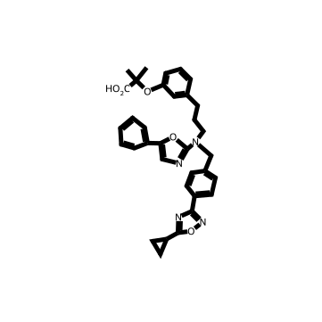 CC(C)(Oc1cccc(CCCN(Cc2ccc(-c3noc(C4CC4)n3)cc2)c2ncc(-c3ccccc3)o2)c1)C(=O)O